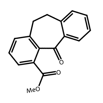 COC(=O)c1cccc2c1C(=O)c1ccccc1CC2